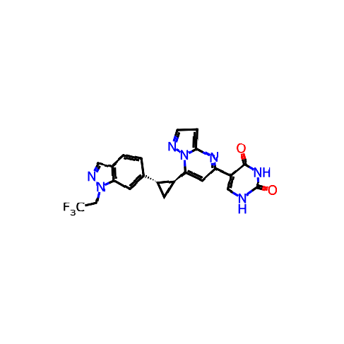 O=c1[nH]cc(-c2cc([C@H]3C[C@@H]3c3ccc4cnn(CC(F)(F)F)c4c3)n3nccc3n2)c(=O)[nH]1